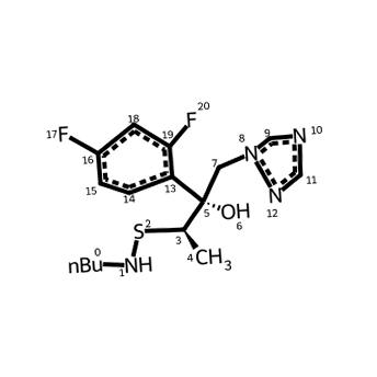 CCCCNS[C@H](C)[C@](O)(Cn1cncn1)c1ccc(F)cc1F